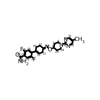 Cc1cnc(N2CCC(O/N=C3\CC=C(c4cc(F)c(C(N)=O)cc4F)CC3)CC2)nc1